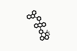 Cc1sc2ccccc2c1-c1cc(-c2c3ccccc3c(-c3cccc(-c4cc5ccccc5c5ccccc45)c3)c3ccccc23)ccc1-c1ccccc1